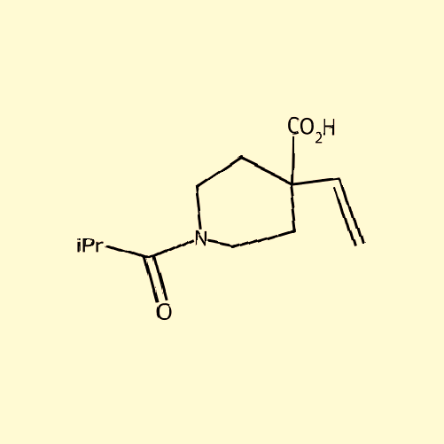 C=CC1(C(=O)O)CCN(C(=O)C(C)C)CC1